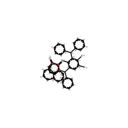 O=C1/C(=N/c2c(C(c3ccccc3)c3ccccc3)cc(F)c(F)c2C(c2ccccc2)c2ccccc2)c2cccc3cccc1c23